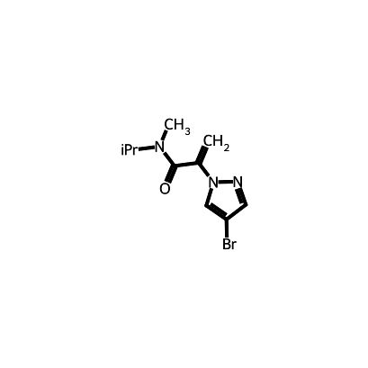 C=C(C(=O)N(C)C(C)C)n1cc(Br)cn1